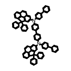 c1ccc(-c2ccc(N(c3ccc(-c4ccc(N(c5ccc(-c6ccccc6)cc5)c5cc6c7c(ccc8cccc(c87)C6(c6ccccc6)c6ccccc6)c5)cc4)cc3)c3cc4c5c(ccc6cccc(c65)C4(c4ccccc4)c4ccccc4)c3)cc2)cc1